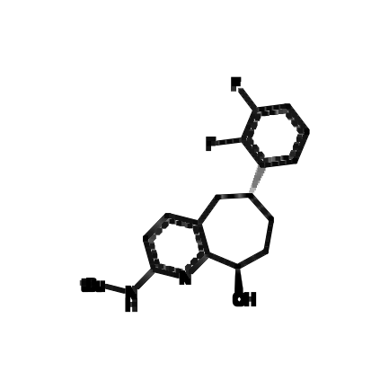 CC(C)(C)Nc1ccc2c(n1)[C@H](O)CC[C@@H](c1cccc(F)c1F)C2